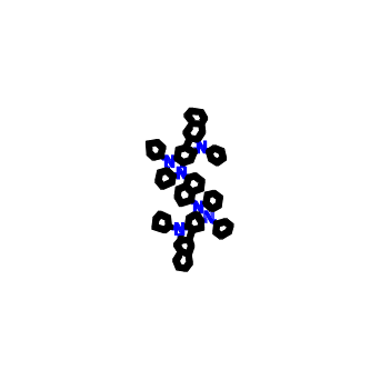 c1ccc(N2c3ccccc3N(c3cccc4c(N5c6ccccc6N(c6ccccc6)c6cc7c8cc9ccccc9cc8n(-c8ccccc8)c7cc65)cccc34)c3cc4c(cc32)c2cc3ccccc3cc2n4-c2ccccc2)cc1